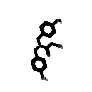 CCC(=O)N(Cc1ccc(C)cc1)Cc1ccc(C)cc1